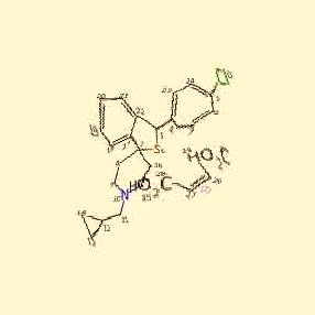 Clc1ccc(C2SC3(CCN(CC4CC4)CC3)c3ccccc32)cc1.O=C(O)/C=C\C(=O)O